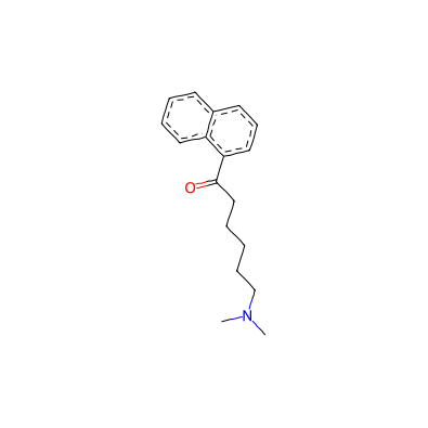 CN(C)CCCCCC(=O)c1cccc2ccccc12